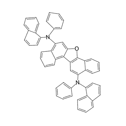 c1ccc(N(c2cccc3ccccc23)c2cc3c(oc4cc(N(c5ccccc5)c5cccc6ccccc56)c5ccccc5c43)c3ccccc23)cc1